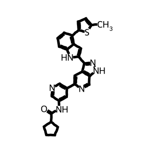 Cc1ccc(-c2cccc3[nH]c(-c4n[nH]c5cnc(-c6cncc(NC(=O)C7CCCC7)c6)cc45)cc23)s1